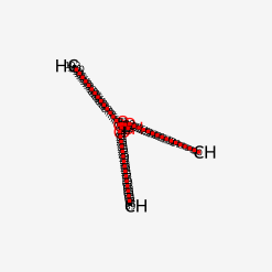 C#CC#CC#CC#CC#CC#CC#CC#CC#CC#CC#CC#CC#CC#CC#COC(=O)CC(O)(CC(=O)OC#CC#CC#CC#CC#CC#CC#CC#CC#CC#CC#CC#CC#CC#CC#C)C(=O)OC#CC#CC#CC#CC#CC#CC#CC#CC#CC#CC#CC#CC#CC#CC#C